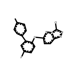 Cc1ccc(-c2cc(F)ccc2Oc2ccc3nnc(Cl)n3n2)cc1